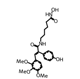 COc1ccc(C=C(C(=O)NCCCCCC(=O)NO)c2ccc(O)cc2)c(OC)c1OC